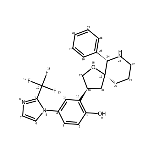 Oc1ccc(-n2ccnc2C(F)(F)F)cc1[C@H]1CO[C@]2(CCCN[C@H]2c2ccccc2)C1